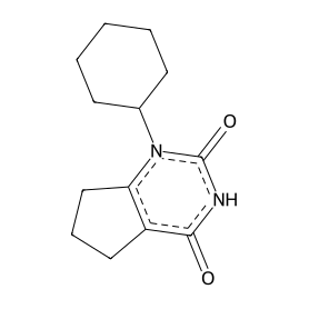 O=c1[nH]c(=O)n(C2CCCCC2)c2c1CCC2